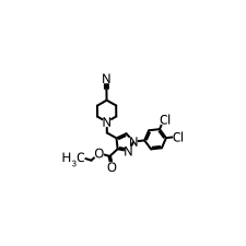 CCOC(=O)c1nn(-c2ccc(Cl)c(Cl)c2)cc1CN1CCC(C#N)CC1